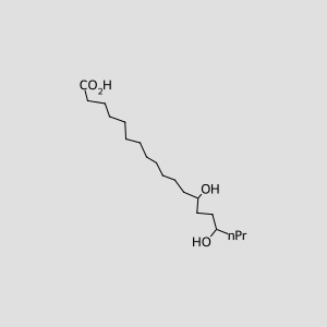 CCCC(O)CCC(O)CCCCCCCCCCCC(=O)O